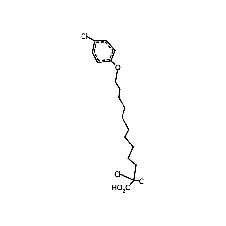 O=C(O)C(Cl)(Cl)CCCCCCCCCCOc1ccc(Cl)cc1